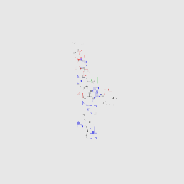 Cn1c(N2CCC3(CC2)Cn2nccc2[C@H]3N)nc2c(c(-c3ccnc(OC(=O)NC(=O)OC(C)(C)C)c3Cl)nn2C2CCCCO2)c1=O